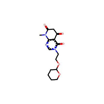 CN1C(=O)CC(=O)c2c1ncn(CCOC1CCCCO1)c2=O